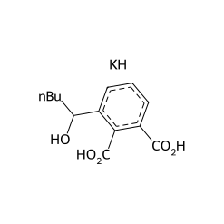 CCCCC(O)c1cccc(C(=O)O)c1C(=O)O.[KH]